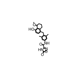 CO[C@H]1CCCc2c(Cc3c(C)cc(NC(=O)c4noc(=O)[nH]4)cc3C)ccc(O)c21